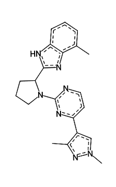 Cc1nn(C)cc1-c1ccnc(N2CCCC2c2nc3c(C)cccc3[nH]2)n1